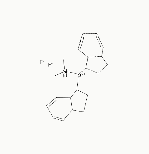 C[SiH](C)[Zr+2]([CH]1CCC2C=CC=CC21)[CH]1CCC2C=CC=CC21.[F-].[F-]